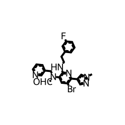 Cn1cc(-c2nc(NCCc3cccc(F)c3)c(N(C=O)Cc3cccnc3)cc2Br)cn1